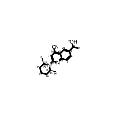 CC(O)c1ccc2nc(N3[C@H](C)CCC[C@@H]3C)cc(C#N)c2c1